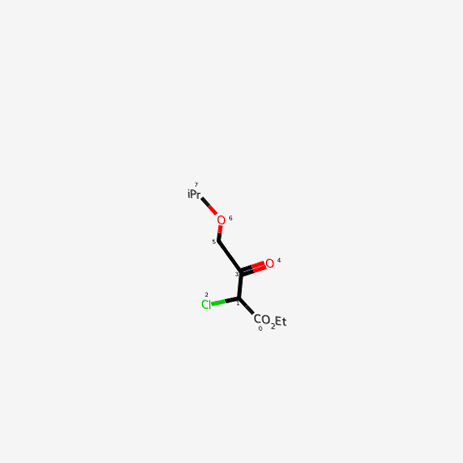 CCOC(=O)C(Cl)C(=O)COC(C)C